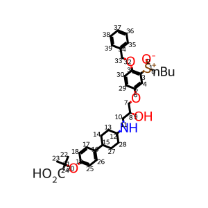 CCCC[S+]([O-])c1cc(OC[C@@H](O)CNC2CCC(c3ccc(OC(C)(C)C(=O)O)cc3)CC2)ccc1OCc1ccccc1